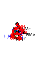 CC[C@H](CC(C)C)C(=O)N[C@H]1C(=O)C[C@@H](CC(=O)NC(=O)Nc2ccc(OCCNC)cc2OCCNC)C(=O)N[C@H]2C(=O)C[C@H]3C(=O)N[C@H](C(=O)N[C@H](C(=O)CC4C5CC6CC(C5)CC4C6)c4cc(O)cc(O)c4-c4cc3ccc4O)[C@H](O)c3ccc(c(Cl)c3)Oc3cc2cc(c3O[C@@H]2O[C@H](CN)[C@@H](O)[C@H](O)[C@H]2O)Oc2ccc(cc2Cl)[C@H]1O